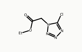 CCOC(=O)Cn1nnnc1Cl